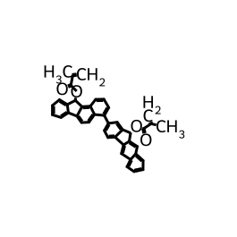 C=C(C)C(=O)OC1c2cc(-c3cccc4c5c(ccc34)-c3ccccc3C5OC(=O)C(=C)C)ccc2-c2cc3ccccc3cc21